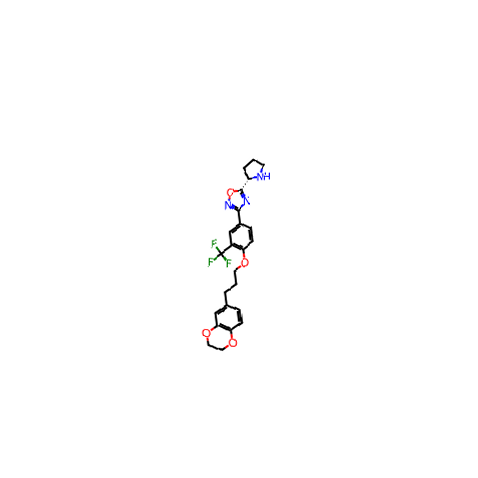 FC(F)(F)c1cc(-c2noc([C@@H]3CCCN3)n2)ccc1OCCCc1ccc2c(c1)OCCO2